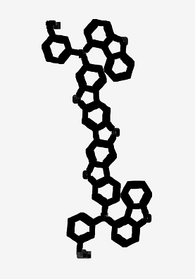 CC(C)(C)c1cccc(N(c2ccc3c(c2)oc2cc4c(cc23)oc2cc3c(cc24)oc2cc(N(c4cccc(C(C)(C)C)c4)c4cccc5oc6ccccc6c45)ccc23)c2cccc3oc4ccccc4c23)c1